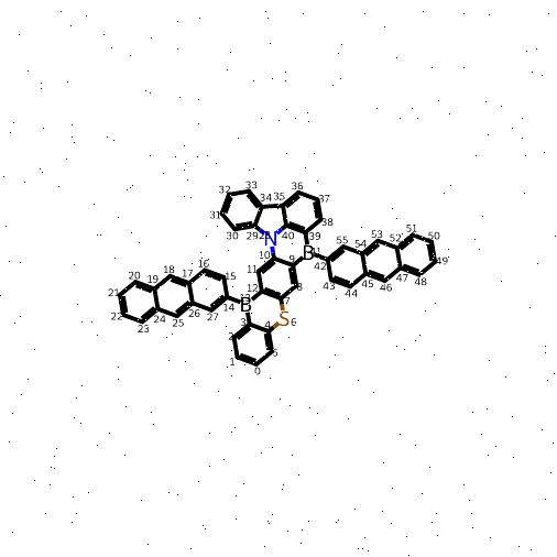 c1ccc2c(c1)Sc1cc3c(cc1B2c1ccc2cc4ccccc4cc2c1)-n1c2ccccc2c2cccc(c21)B3c1ccc2cc3ccccc3cc2c1